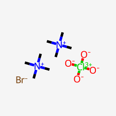 C[N+](C)(C)C.C[N+](C)(C)C.[Br-].[O-][Cl+3]([O-])([O-])[O-]